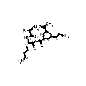 C=C(C)C(=O)N[C@@H](CCCCN)C(=O)OC(=O)[C@H](CCCCN)NC(=O)C(=C)C